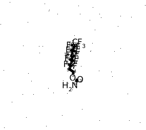 NC(=O)OCCC(F)(F)C(F)(F)C(F)(F)C(F)(F)C(F)(F)C(F)(F)F